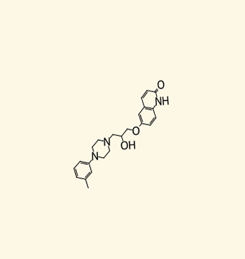 Cc1cccc(N2CCN(CC(O)COc3ccc4[nH]c(=O)ccc4c3)CC2)c1